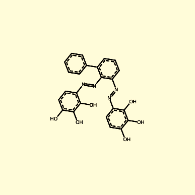 Oc1ccc(N=Nc2cccc(-c3ccccc3)c2N=Nc2ccc(O)c(O)c2O)c(O)c1O